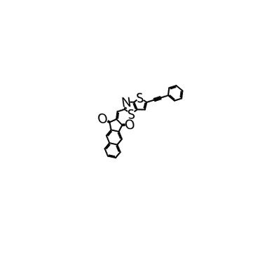 O=C1C(=Cc2nc3sc(C#Cc4ccccc4)cc3s2)C(=O)c2cc3ccccc3cc21